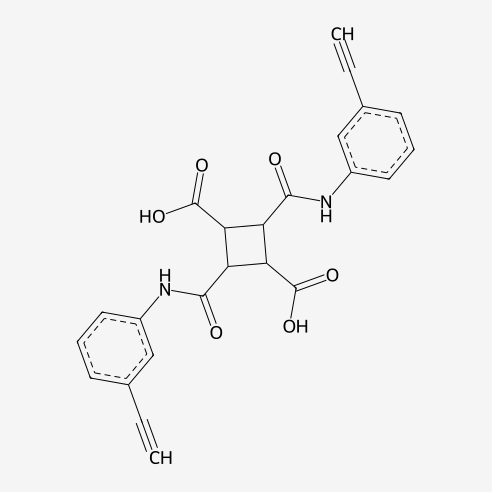 C#Cc1cccc(NC(=O)C2C(C(=O)O)C(C(=O)Nc3cccc(C#C)c3)C2C(=O)O)c1